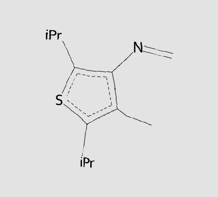 C=Nc1c(C(C)C)sc(C(C)C)c1C